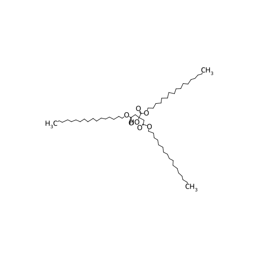 CCCCCCCCCCCCCCCCCOC(=O)CC(O)(CC(=O)OCCCCCCCCCCCCCCCCC)C(=O)OCCCCCCCCCCCCCCCCC